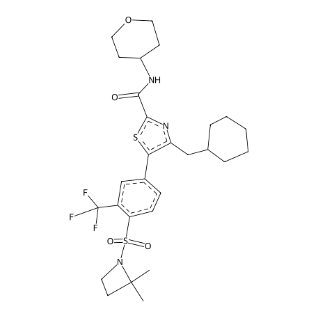 CC1(C)CCN1S(=O)(=O)c1ccc(-c2sc(C(=O)NC3CCOCC3)nc2CC2CCCCC2)cc1C(F)(F)F